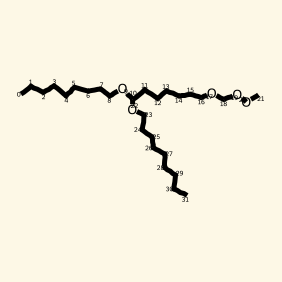 CCCCCCCCCOC(CCCCCCOCOOC)OCCCCCCCCC